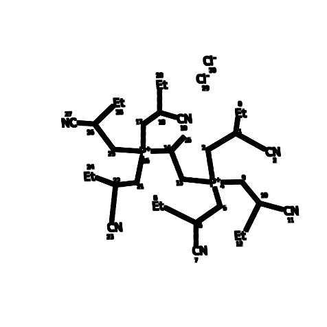 CCC(C#N)C[P+](CC(C#N)CC)(CC(C#N)CC)CC(C)[P+](CC(C#N)CC)(CC(C#N)CC)CC(C#N)CC.[Cl-].[Cl-]